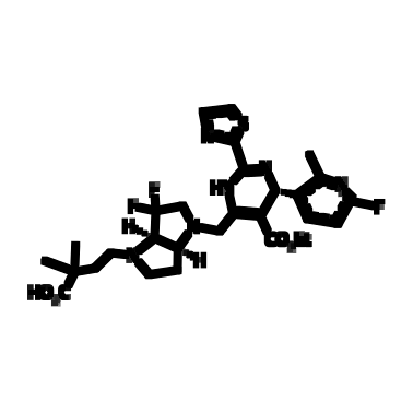 CCOC(=O)C1=C(CN2CC(F)(F)[C@H]3[C@@H]2CCN3CCC(C)(C)C(=O)O)NC(c2nccs2)=N[C@@H]1c1ccc(F)nc1C